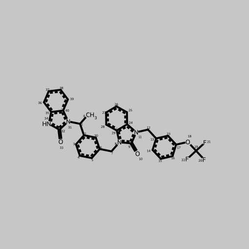 CC(c1cccc(Cn2c(=O)n(Cc3cccc(OC(F)(F)F)c3)c3ccccc32)c1)n1c(=O)[nH]c2ccccc21